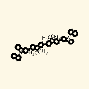 CC1(C)c2cc(-c3ccc4c(c3)C(C)(C)c3cc(-c5ccc6c(c5)c5ccccc5n6-c5cccc6ccccc56)ccc3-4)ccc2-c2ccc(-c3ccc4c(c3)c3ccccc3n4-c3cccc4ccccc34)cc21